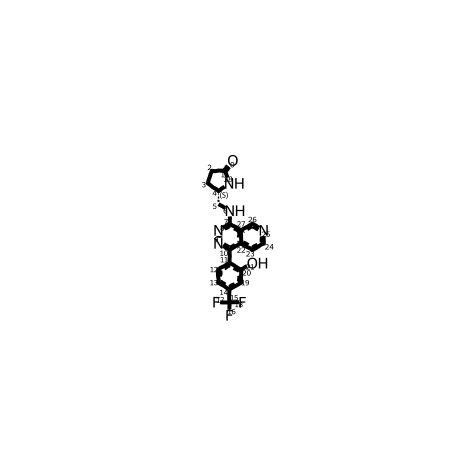 O=C1CC[C@@H](CNc2nnc(-c3ccc(C(F)(F)F)cc3O)c3ccncc23)N1